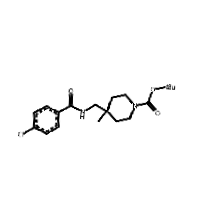 CC1(CNC(=O)c2ccc(Cl)cc2)CCN(C(=O)OC(C)(C)C)CC1